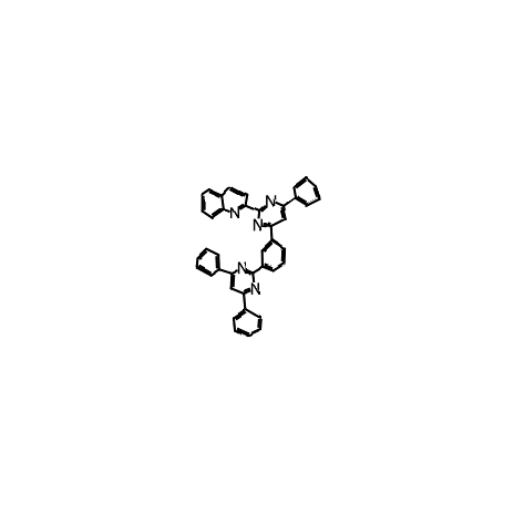 c1ccc(-c2cc(-c3ccccc3)nc(-c3cccc(-c4cc(-c5ccccc5)nc(-c5ccc6ccccc6n5)n4)c3)n2)cc1